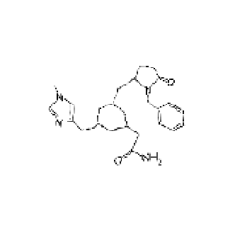 Cn1cnc(CC2CC(CC(N)=O)CC(CC3CCC(=O)N3Cc3ccccc3)C2)c1